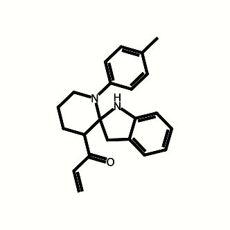 C=CC(=O)C1CCCN(c2ccc(C)cc2)C12Cc1ccccc1N2